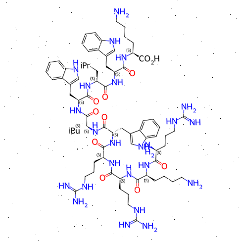 CC[C@H](C)[C@H](NC(=O)[C@H](Cc1c[nH]c2ccccc12)NC(=O)[C@H](CCCNC(=N)N)NC(=O)[C@H](CCCNC(=N)N)NC(=O)[C@H](CCCCN)NC(=O)[C@@H](N)CCCNC(=N)N)C(=O)N[C@@H](Cc1c[nH]c2ccccc12)C(=O)N[C@@H](CC(C)C)C(=O)N[C@@H](Cc1c[nH]c2ccccc12)C(=O)N[C@@H](CCCCN)C(=O)O